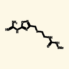 CSNC(=O)NCCSCc1noc(NC(=N)N)n1